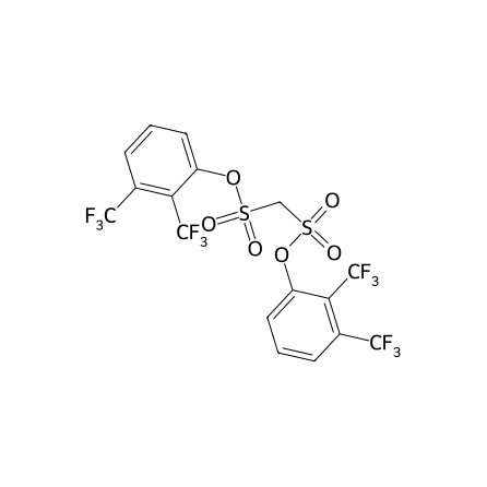 O=S(=O)(CS(=O)(=O)Oc1cccc(C(F)(F)F)c1C(F)(F)F)Oc1cccc(C(F)(F)F)c1C(F)(F)F